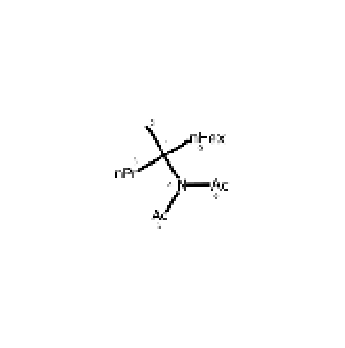 CCCCCCC(C)(CCC)N(C(C)=O)C(C)=O